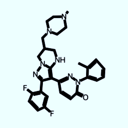 Cc1ccccc1-n1nc(-c2c(-c3cc(F)ccc3F)nn3c2NCC(CN2CCN(C)CC2)C3)ccc1=O